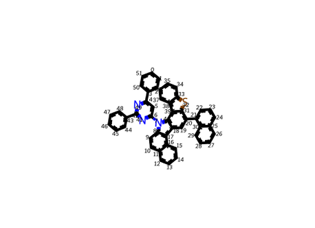 c1ccc(-c2cc(-n3c4ccc5ccccc5c4c4cc(-c5cccc6ccccc56)c5sc6ccccc6c5c43)nc(-c3ccccc3)n2)cc1